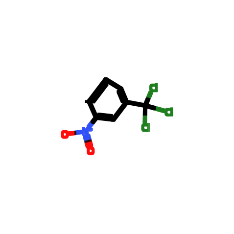 O=[N+]([O-])c1[c]ccc(C(Cl)(Cl)Cl)c1